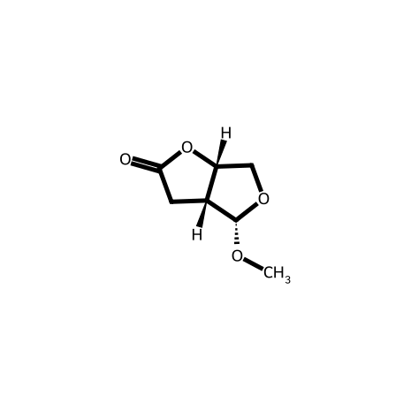 CO[C@H]1OC[C@H]2OC(=O)C[C@@H]12